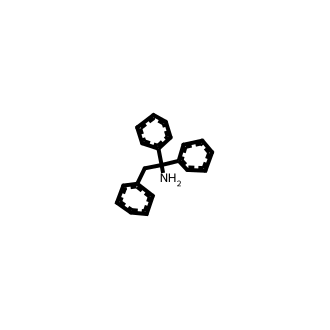 NC(Cc1ccccc1)(c1ccccc1)c1ccccc1